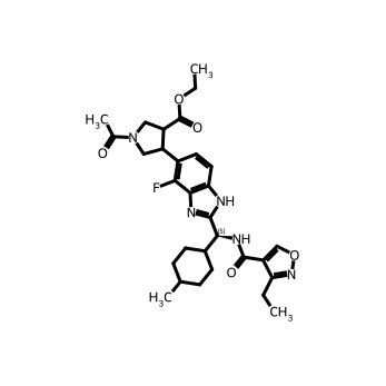 CCOC(=O)C1CN(C(C)=O)CC1c1ccc2[nH]c([C@@H](NC(=O)c3conc3CC)C3CCC(C)CC3)nc2c1F